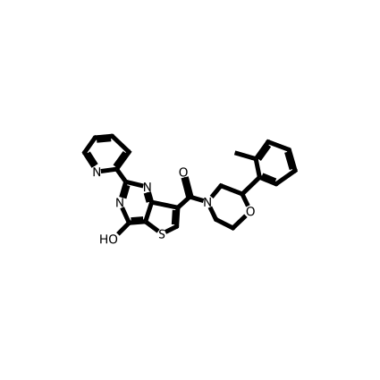 Cc1ccccc1C1CN(C(=O)c2csc3c(O)nc(-c4ccccn4)nc23)CCO1